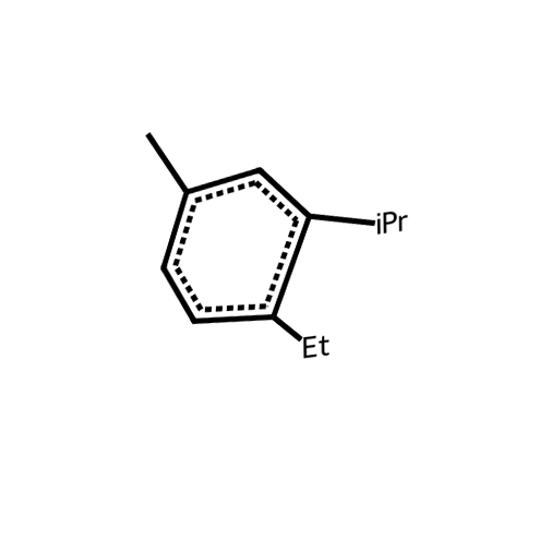 CCc1ccc(C)cc1C(C)C